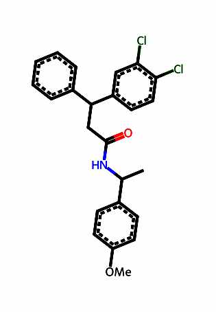 COc1ccc(C(C)NC(=O)CC(c2ccccc2)c2ccc(Cl)c(Cl)c2)cc1